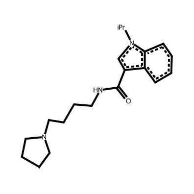 CC(C)n1cc(C(=O)NCCCCN2C[CH]CC2)c2ccccc21